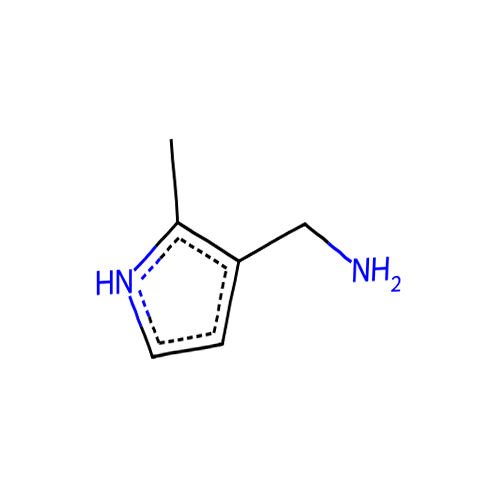 Cc1[nH]ccc1CN